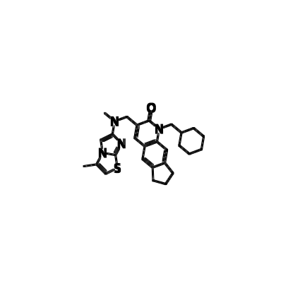 Cc1csc2nc(N(C)Cc3cc4cc5c(cc4n(CC4CCCCC4)c3=O)CCC5)cn12